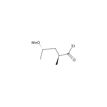 CCC(=O)[C@@H](C)C[C@H](C)OC